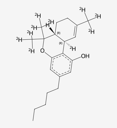 [2H]C([2H])([2H])C1=C[C@@]2([2H])c3c(O)cc(CCCCC)cc3OC(C([2H])([2H])[2H])(C([2H])([2H])[2H])[C@@H]2CC1